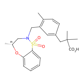 Cc1ccc(CC(C)(C)C(=O)O)cc1CN1C[C@@H](C)Oc2ccccc2S1(=O)=O